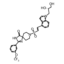 O=C1NC(c2cccc(OC(F)(F)F)c2)=NC12CCN(S(=O)(=O)C=Cc1cccc3c1ccn3C[C@H](O)CO)CC2